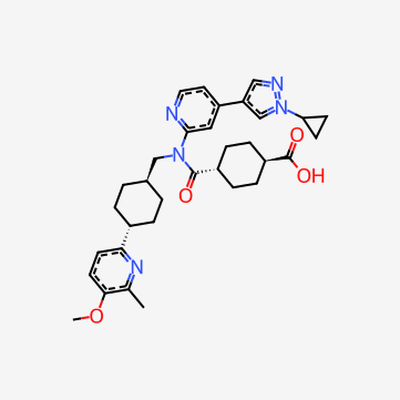 COc1ccc([C@H]2CC[C@H](CN(c3cc(-c4cnn(C5CC5)c4)ccn3)C(=O)[C@H]3CC[C@H](C(=O)O)CC3)CC2)nc1C